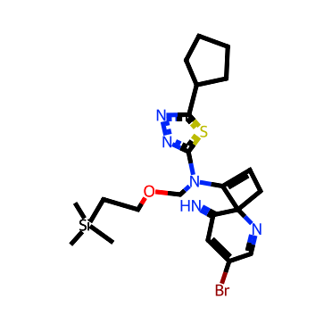 C[Si](C)(C)CCOCN(C1=CCC12N=CC(Br)=CC2=N)c1nnc(C2CCCC2)s1